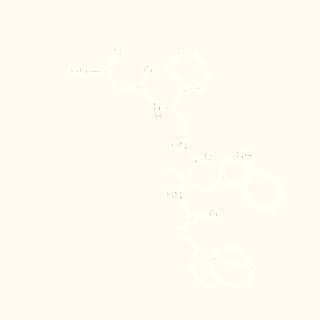 CC(Cc1c[nH]c2ccccc12)(NC(=O)OC1C2CC3CC(C2)CC1C3)C(=O)NCC(NC(=O)CC(=O)O)c1ccccc1